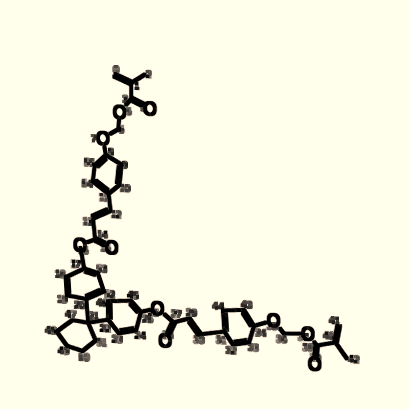 C=C(C)C(=O)OCOc1ccc(C=CC(=O)Oc2ccc(C3(c4ccc(OC(=O)C=Cc5ccc(OCOC(=O)C(=C)C)cc5)cc4)CCCCC3)cc2)cc1